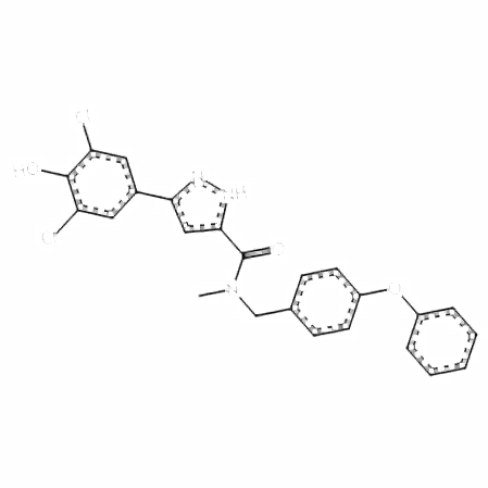 CN(Cc1ccc(Oc2ccccc2)cc1)C(=O)c1cc(-c2cc(Cl)c(O)c(Cl)c2)n[nH]1